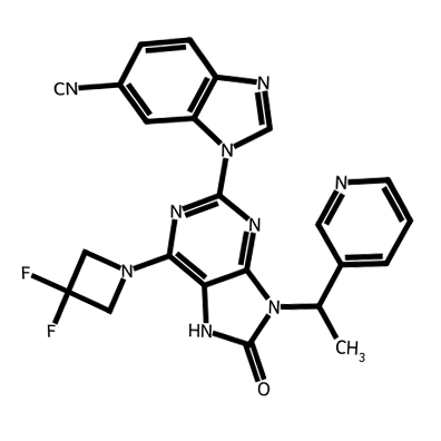 [C-]#[N+]c1ccc2ncn(-c3nc(N4CC(F)(F)C4)c4[nH]c(=O)n(C(C)c5cccnc5)c4n3)c2c1